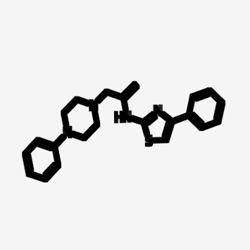 C=C(CN1CCN(c2ccccc2)CC1)Nc1nc(-c2ccccc2)cs1